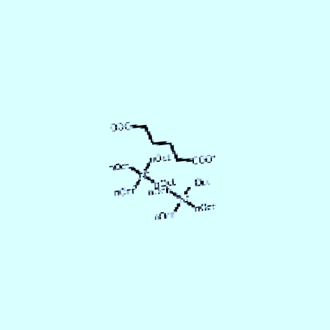 CCCCCCCC[N+](CCCCCCCC)(CCCCCCCC)CCCCCCCC.CCCCCCCC[N+](CCCCCCCC)(CCCCCCCC)CCCCCCCC.O=C([O-])CCCCC(=O)[O-]